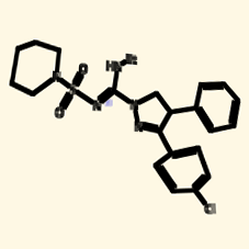 CCN/C(=N\S(=O)(=O)N1CCCCC1)N1CC(c2ccccc2)C(c2ccc(Cl)cc2)=N1